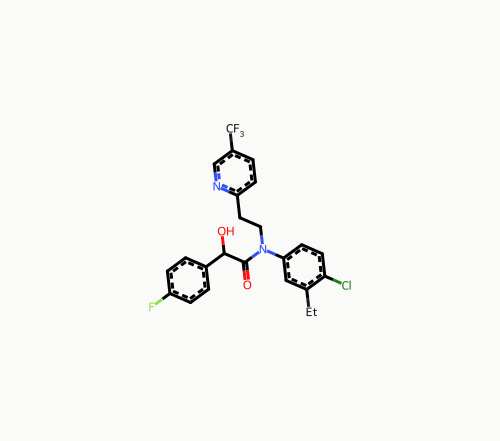 CCc1cc(N(CCc2ccc(C(F)(F)F)cn2)C(=O)C(O)c2ccc(F)cc2)ccc1Cl